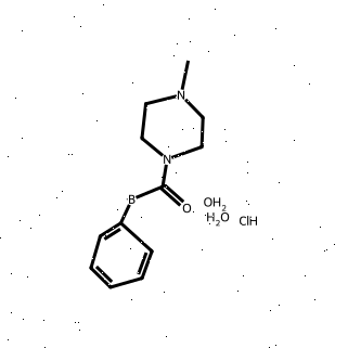 CN1CCN(C(=O)[B]c2ccccc2)CC1.Cl.O.O